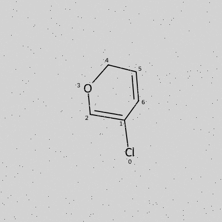 ClC1=COCC=C1